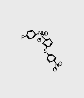 O=[N+]([O-])c1ccc(Sc2cccc(S(=O)(=O)Nc3ccc(F)cc3)c2)cc1